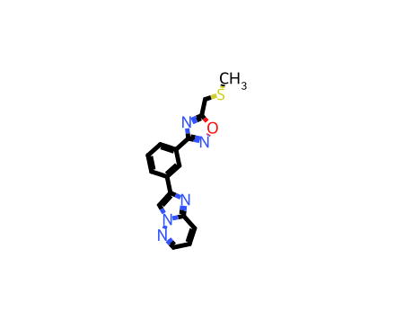 CSCc1nc(-c2cccc(-c3cn4ncccc4n3)c2)no1